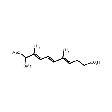 COC(OC)/C(C)=C/C=C/C(C)=C/CCC(=O)O